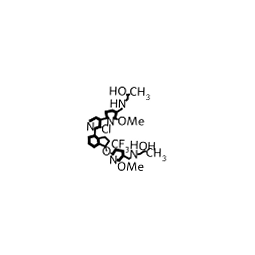 COc1nc(-c2ccnc(-c3cccc4c3CC[C@H]4Oc3nc(OC)c(CNCC(C)O)cc3C(F)(F)F)c2Cl)ccc1CNCC(C)O